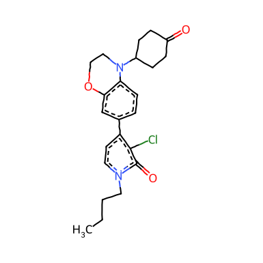 CCCCn1ccc(-c2ccc3c(c2)OCCN3C2CCC(=O)CC2)c(Cl)c1=O